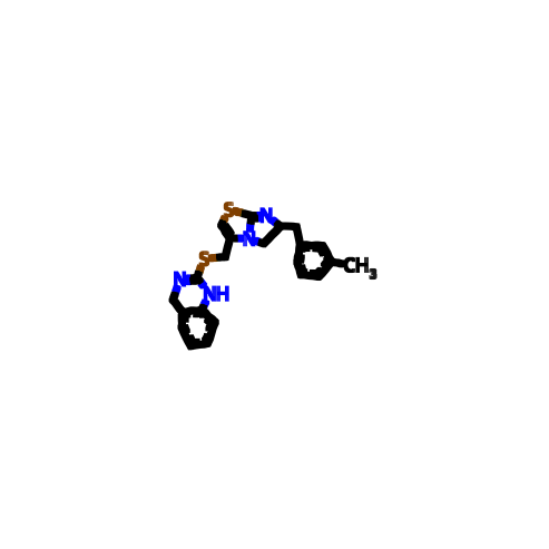 Cc1cccc(CC2CN3C(CSC4=NCc5ccccc5N4)=CSC3=N2)c1